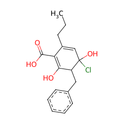 CCCC1=CC(O)(Cl)C(Cc2ccccc2)C(O)=C1C(=O)O